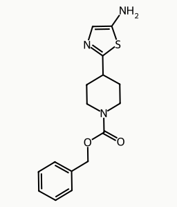 Nc1cnc(C2CCN(C(=O)OCc3ccccc3)CC2)s1